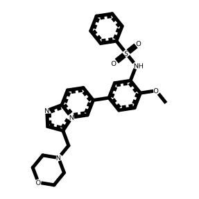 COc1ccc(-c2ccc3ncc(CN4CCOCC4)n3c2)cc1NS(=O)(=O)c1ccccc1